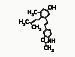 C=C1Nc2ccc(/C=C/c3cc(O)cc(C)c3CC=C(C)C)cc2O1